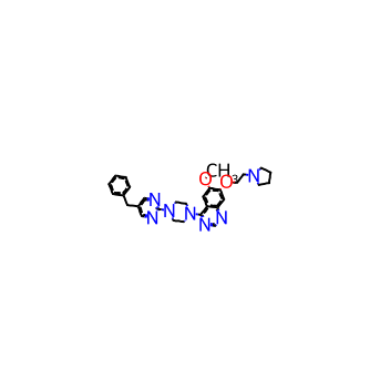 COc1cc2c(N3CCN(c4ncc(Cc5ccccc5)cn4)CC3)ncnc2cc1OCCN1CCCC1